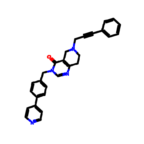 O=c1c2c(ncn1Cc1ccc(-c3ccncc3)cc1)CCN(CC#Cc1ccccc1)C2